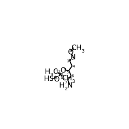 CO/N=C/CC(CCN)OC(C)(C)OS